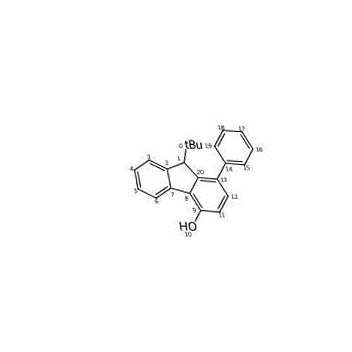 CC(C)(C)C1c2ccccc2-c2c(O)ccc(-c3ccccc3)c21